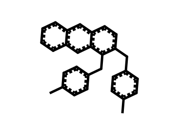 Cc1ccc(Cc2ccc3cc4ccccc4cc3c2Cc2ccc(C)cc2)cc1